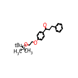 CC(C)(C)[Si](C)(C)OCCOc1ccc(C(=O)CCc2ccccc2)cc1